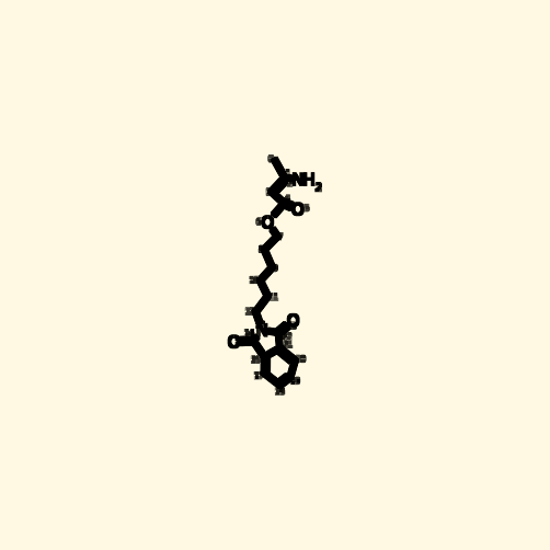 CC(N)=CC(=O)OCCCCCCN1C(=O)c2ccccc2C1=O